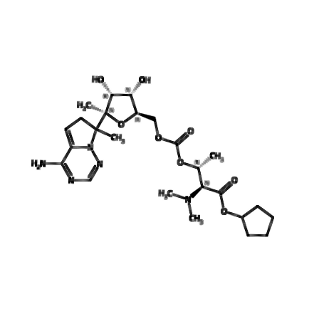 C[C@@H](OC(=O)OC[C@H]1O[C@@](C)(C2(C)CC=C3C(N)=NC=NN32)[C@H](O)[C@@H]1O)[C@@H](C(=O)OC1CCCC1)N(C)C